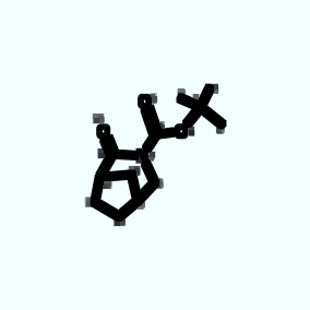 CC(C)(C)OC(=O)N1CC2CCC(C2)C1=O